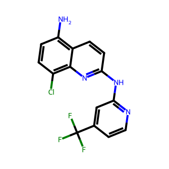 Nc1ccc(Cl)c2nc(Nc3cc(C(F)(F)F)ccn3)ccc12